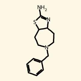 NC1=NC2CCN(Cc3ccccc3)CCC2S1